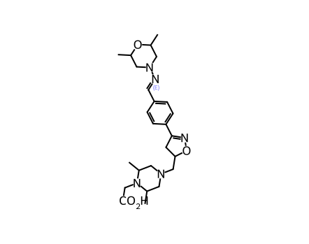 CC1CN(/N=C/c2ccc(C3=NOC(CN4CC(C)N(CC(=O)O)C(C)C4)C3)cc2)CC(C)O1